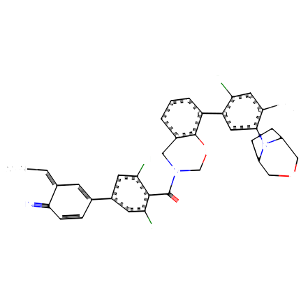 CN/C=C1/C=C(c2cc(Cl)c(C(=O)N3COc4c(cccc4-c4cc(N5C6CCC5COC6)c(C(=O)O)cc4F)C3)c(Cl)c2)C=CC1=N